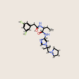 CC(C)CC(NC(=O)Cc1cc(F)cc(F)c1)C(=O)Nc1cn(C(C)(C)CN2CCCC2)cn1